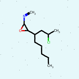 C=NC1OC1C(CCCCC)CC(C)Cl